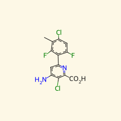 Cc1c(Cl)cc(F)c(-c2cc(N)c(Cl)c(C(=O)O)n2)c1F